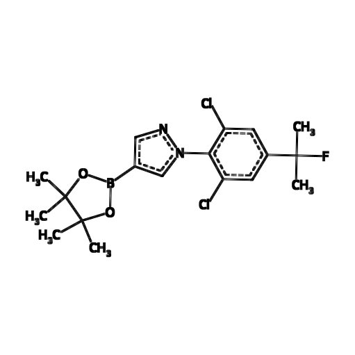 CC(C)(F)c1cc(Cl)c(-n2cc(B3OC(C)(C)C(C)(C)O3)cn2)c(Cl)c1